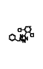 Clc1c[c]cc(Cl)c1-c1nnn(Cc2ccccc2)n1